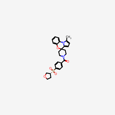 Cc1ccc2n1-c1ccccc1OC21CCN(C(=O)c2ccc(S(=O)(=O)[C@@H]3CCOC3)cc2)CC1